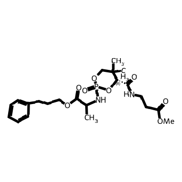 COC(=O)CCNC(=O)[C@@H]1OP(=O)(NC(C)C(=O)OCCCc2ccccc2)OCC1(C)C